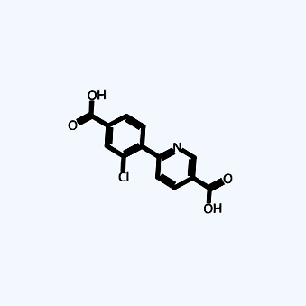 O=C(O)c1ccc(-c2ccc(C(=O)O)cc2Cl)nc1